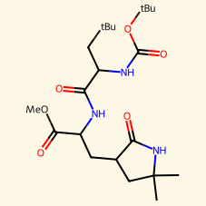 COC(=O)C(CC1CC(C)(C)NC1=O)NC(=O)C(CC(C)(C)C)NC(=O)OC(C)(C)C